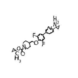 CC1(OC(=O)N2CCC(COc3c(F)cc(-c4ccc(C5(N)CC5)nc4)cc3F)CC2)CC1